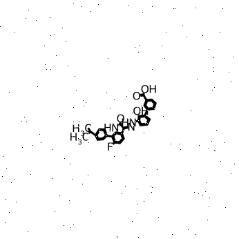 CC(C)c1ccc(-c2c(F)ccc3c2NC(=O)C3=NNc2cccc(-c3cccc(C(=O)O)c3)c2O)cc1